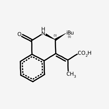 CC[C@H](C)[C@@H]1NC(=O)c2ccccc2C1=C(C)C(=O)O